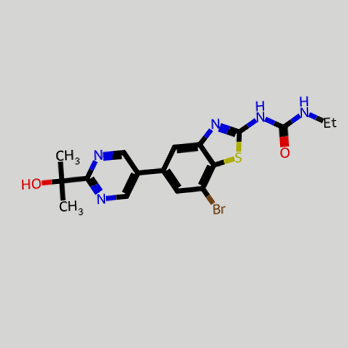 CCNC(=O)Nc1nc2cc(-c3cnc(C(C)(C)O)nc3)cc(Br)c2s1